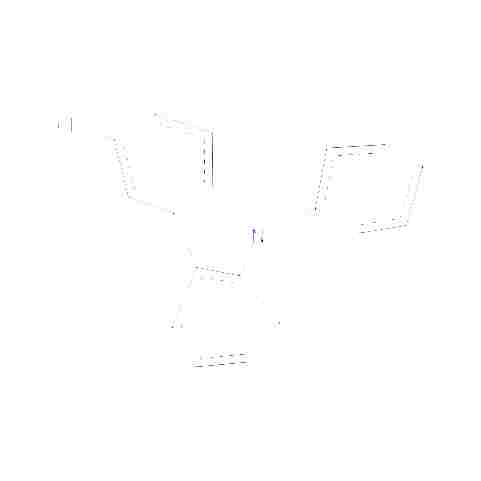 Clc1[c]cc2c(c1)c1ccccc1n2-c1ccccc1